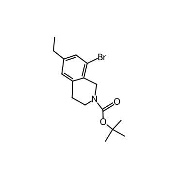 CCc1cc(Br)c2c(c1)CCN(C(=O)OC(C)(C)C)C2